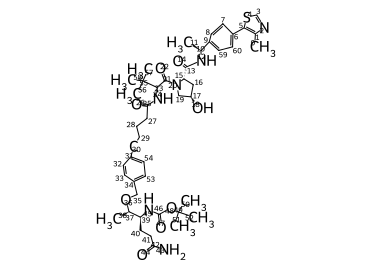 Cc1ncsc1-c1ccc([C@H](C)NC(=O)[C@@H]2C[C@@H](O)CN2C(=O)[C@@H](NC(=O)CCCCc2ccc(CO[C@H](C)[C@H](CCC(N)=O)NC(=O)OC(C)(C)C)cc2)C(C)(C)C)cc1